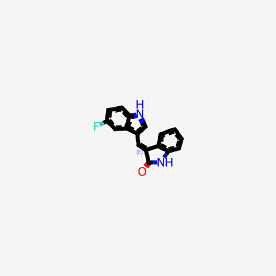 O=C1Nc2ccccc2/C1=C\c1c[nH]c2ccc(F)cc12